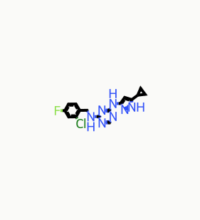 Fc1ccc(CNc2ncnc(Nc3cc(C4CC4)[nH]n3)n2)c(Cl)c1